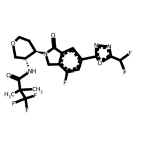 CC(C)(C(=O)N[C@@H]1COCC[C@H]1N1Cc2c(F)cc(-c3nnc(C(F)F)o3)cc2C1=O)C(F)(F)F